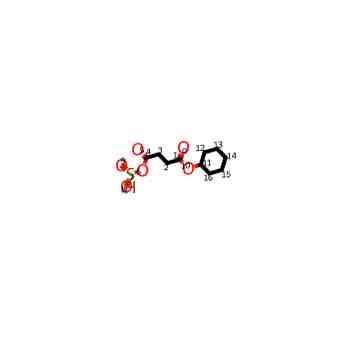 O=C(CCC(=O)O[SH](=O)=O)OC1CCCCC1